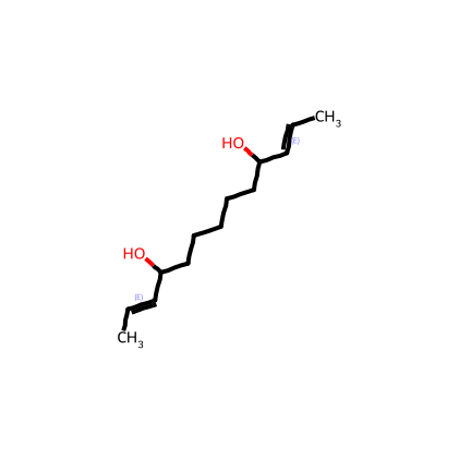 C/C=C/C(O)CCCCCC(O)/C=C/C